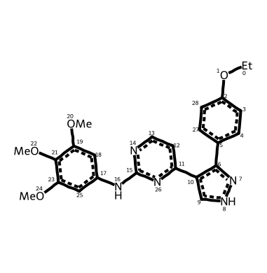 CCOc1ccc(-c2n[nH]cc2-c2ccnc(Nc3cc(OC)c(OC)c(OC)c3)n2)cc1